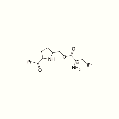 CC(C)C[C@H](N)C(=O)OCC1CCC(C(=O)C(C)C)N1